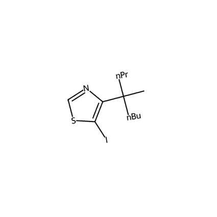 CCCCC(C)(CCC)c1ncsc1I